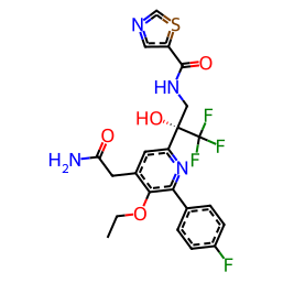 CCOc1c(CC(N)=O)cc([C@@](O)(CNC(=O)c2cncs2)C(F)(F)F)nc1-c1ccc(F)cc1